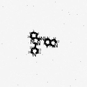 c1ccc2c(Nc3ccc4cnccc4c3)nc(-c3ccncc3)nc2c1